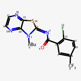 CCCCn1c(=NC(=O)c2cc(C(F)(F)F)ccc2F)sc2nccnc21